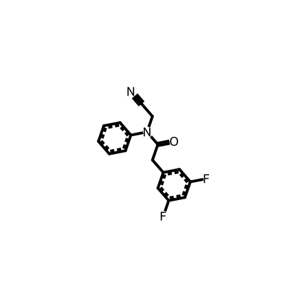 N#CCN(C(=O)Cc1cc(F)cc(F)c1)c1ccccc1